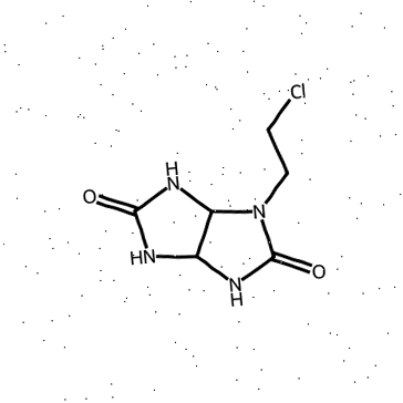 O=C1NC2NC(=O)N(CCCl)C2N1